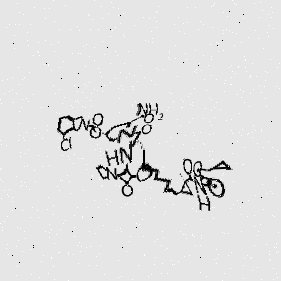 C[C@]1(C(=O)NS(=O)(=O)C2CC2)C[C@H]1/C=C\CCCCC[C@H](Nc1c(N2CCC2)c(=O)c1=O)C(=O)N1C[C@H](OC(=O)N2Cc3cccc(Cl)c3C2)C[C@H]1C(N)=O